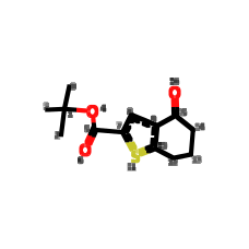 CC(C)(C)OC(=O)c1cc2c(s1)CCCC2=O